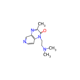 Cc1nc2cnccc2n(CCN(C)C)c1=O